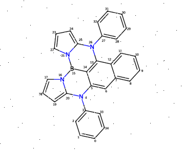 c1ccc(N2c3cc4ccccc4c4c3B(n3cccc32)n2cccc2N4c2ccccc2)cc1